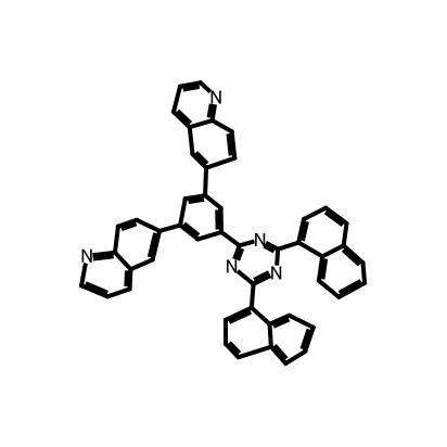 c1cnc2ccc(-c3cc(-c4ccc5ncccc5c4)cc(-c4nc(-c5cccc6ccccc56)nc(-c5cccc6ccccc56)n4)c3)cc2c1